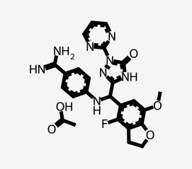 CC(=O)O.COc1cc(C(Nc2ccc(C(=N)N)cc2)c2nn(-c3ncccn3)c(=O)[nH]2)c(F)c2c1OCC2